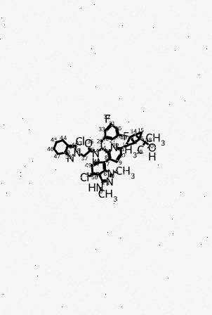 CNc1nn(C)c2c(-c3ccc(C4C5C6C[C@]6(C(C)(C)O)C45)nc3[C@H](Cc3cc(F)cc(F)c3)NC(=O)Cn3nc4c(c3Cl)CCCC4)ccc(Cl)c12